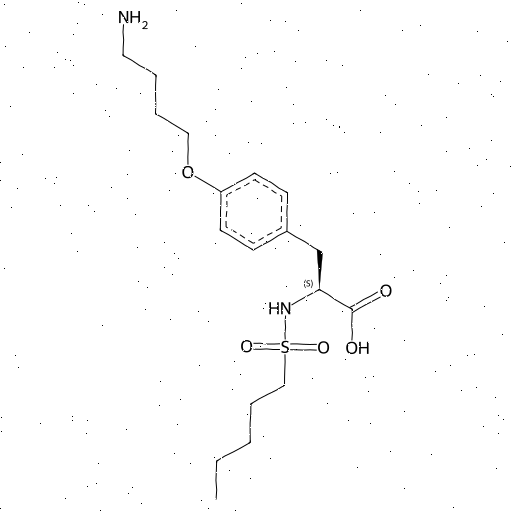 CCCCCS(=O)(=O)N[C@@H](Cc1ccc(OCCCCN)cc1)C(=O)O